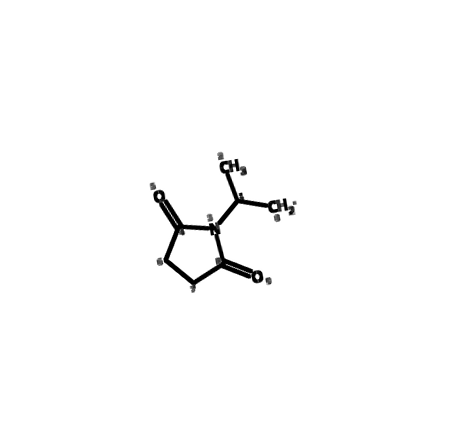 [CH2]C(C)N1C(=O)CCC1=O